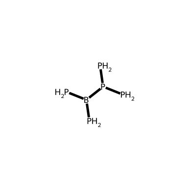 PB(P)P(P)P